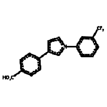 O=C(O)c1ccc(-c2ccn(-c3cccc(C(F)(F)F)c3)c2)cc1